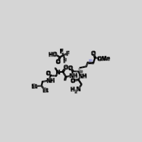 C=C(NC(=O)[C@H](CC/C=C/C(=O)OC)NC(=O)CN)C(=O)N(C)CC(=O)NCC(CC)CC.O=C(O)C(F)(F)F